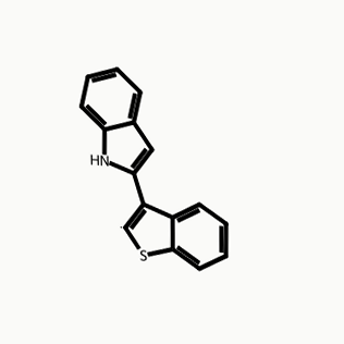 [c]1sc2ccccc2c1-c1cc2ccccc2[nH]1